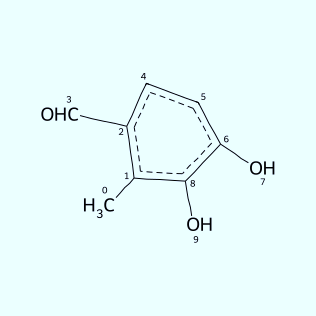 Cc1c(C=O)ccc(O)c1O